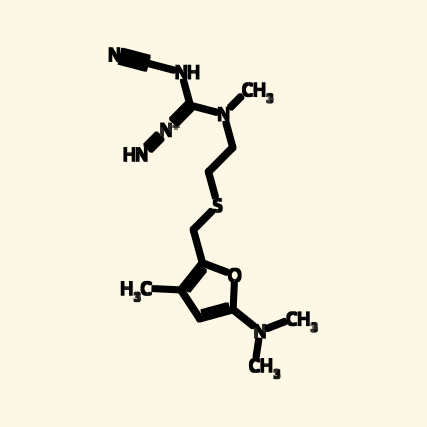 Cc1cc(N(C)C)oc1CSCCN(C)C(=[N+]=N)NC#N